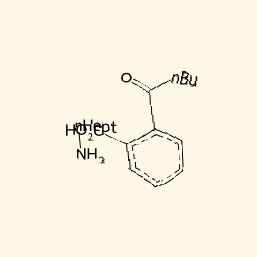 CCCCC(=O)c1ccccc1C(=O)O.CCCCCCCN